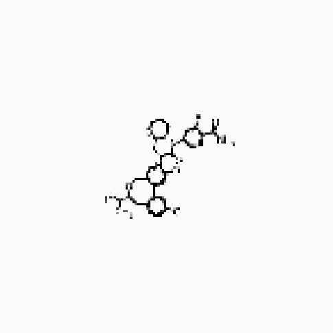 CC(C)[C@@H]1Cc2ccc(Cl)cc2-c2cc(=O)n([C@@H](C[C@@H]3CCCCO3)C(=O)Nc3ccc(C(N)=O)c(F)c3)cc2CO1